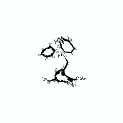 COc1ncc([125I])cc1CN[C@H]1CCCN[C@H]1c1ccccc1